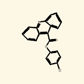 S=C(Oc1ccc(Cl)cc1)c1c2ccccc2nc2ccccc12